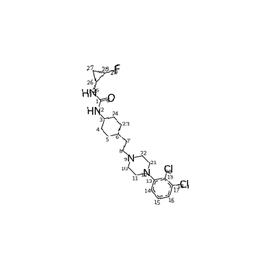 O=C(NC1CCC(CCN2CCN(c3cccc(Cl)c3Cl)CC2)CC1)NC1CC1F